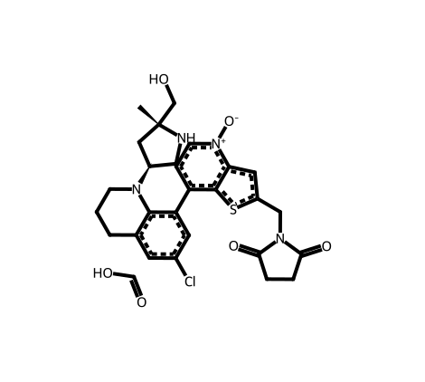 C[C@]1(CO)C[C@H](N2CCCc3cc(Cl)cc(-c4cc[n+]([O-])c5cc(CN6C(=O)CCC6=O)sc45)c32)CN1.O=CO